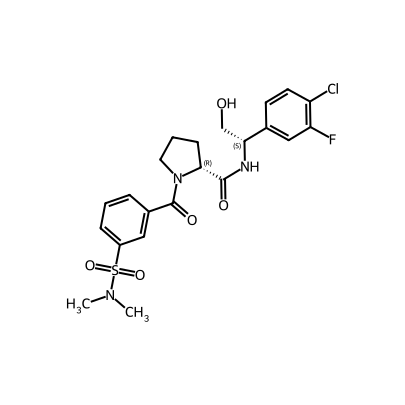 CN(C)S(=O)(=O)c1cccc(C(=O)N2CCC[C@@H]2C(=O)N[C@H](CO)c2ccc(Cl)c(F)c2)c1